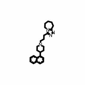 c1ccc2c(C3CCN(CCCc4nnc5n4CCCCC5)CC3)cccc2c1